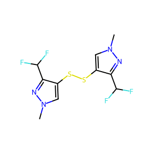 Cn1cc(SSc2cn(C)nc2C(F)F)c(C(F)F)n1